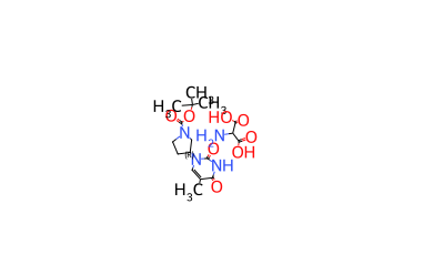 Cc1cn([C@@H]2CCN(C(=O)OC(C)(C)C)C2)c(=O)[nH]c1=O.NC(C(=O)O)C(=O)O